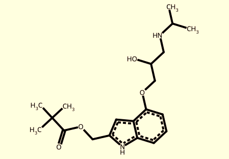 CC(C)NCC(O)COc1cccc2[nH]c(COC(=O)C(C)(C)C)cc12